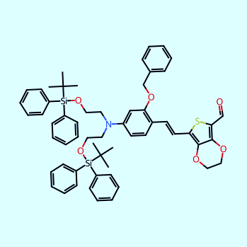 CC(C)(C)[Si](OCCN(CCO[Si](c1ccccc1)(c1ccccc1)C(C)(C)C)c1ccc(/C=C/c2sc(C=O)c3c2OCCO3)c(OCc2ccccc2)c1)(c1ccccc1)c1ccccc1